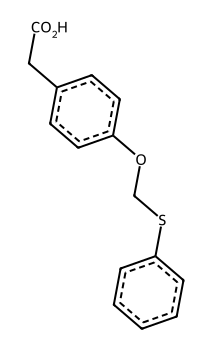 O=C(O)Cc1ccc(OCSc2ccccc2)cc1